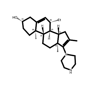 CC[C@H]1C=C2C[C@@H](O)CC[C@]2(C)[C@H]2CC[C@]3(C)C(N4CCNCC4)=C(C)C[C@H]3[C@H]12